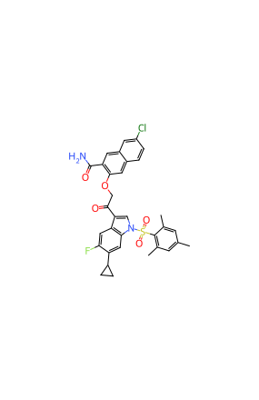 Cc1cc(C)c(S(=O)(=O)n2cc(C(=O)COc3cc4ccc(Cl)cc4cc3C(N)=O)c3cc(F)c(C4CC4)cc32)c(C)c1